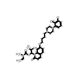 C=CN(C)C(=O)OC(C(C)C)n1c(=O)ccc2ccc(OCCCCN3CCN(c4cccc(Cl)c4Cl)CC3)cc21